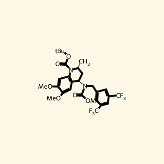 COC(=O)N(Cc1cc(C(F)(F)F)cc(C(F)(F)F)c1)[C@H]1C[C@@H](C)N(C(=O)OC(C)(C)C)c2cc(OC)c(OC)cc21